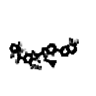 COc1cc(C(=O)N2C[C@H]3CC[C@@H]2[C@@H]3N)cc2nc(-c3cc4ccc(-c5ccc6ccc(=O)[nH]c6c5)nc4n3CC3CC3)n(C)c12